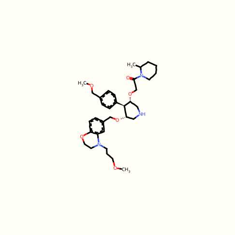 COCCCN1CCOc2ccc(CO[C@H]3CNC[C@@H](OCC(=O)N4CCCCC4C)[C@@H]3c3ccc(COC)cc3)cc21